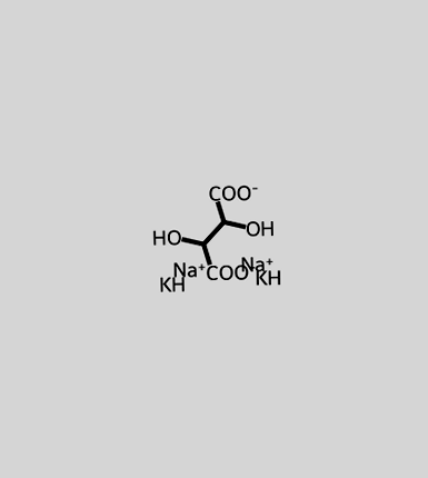 O=C([O-])C(O)C(O)C(=O)[O-].[KH].[KH].[Na+].[Na+]